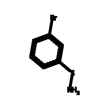 NSc1cccc(Br)c1